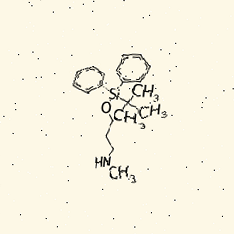 CNCCCO[Si](c1ccccc1)(c1ccccc1)C(C)(C)C